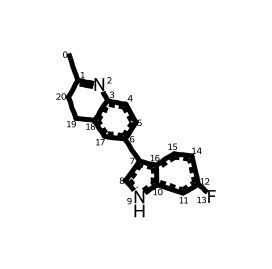 CC1=Nc2ccc(-c3c[nH]c4cc(F)ccc34)cc2CC1